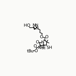 CC(C)(C)OC(=O)N[C@H]1C(=O)N2[C@H]1C(S)C(C)(C)[C@H]2C(=O)OCCCn1cc(CO)nn1